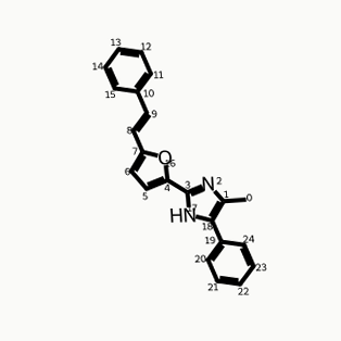 Cc1nc(-c2ccc(/C=C/c3ccccc3)o2)[nH]c1-c1ccccc1